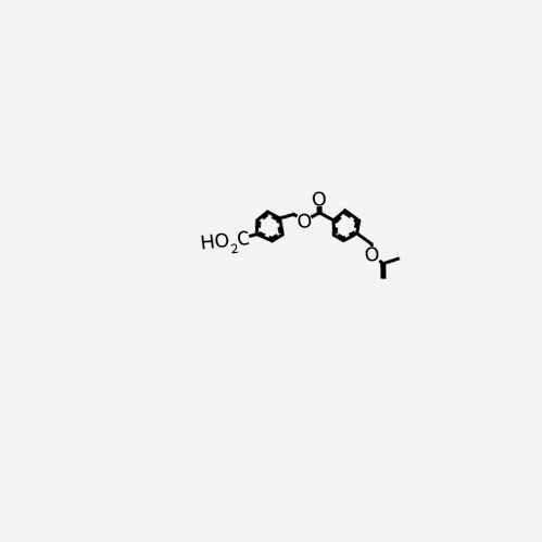 C=C(C)OCc1ccc(C(=O)OCc2ccc(C(=O)O)cc2)cc1